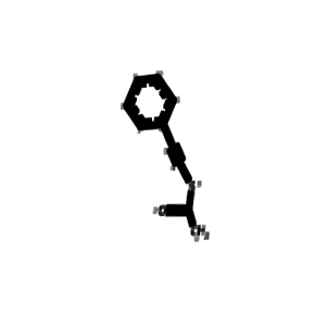 CC(=O)SC#Cc1ccccc1